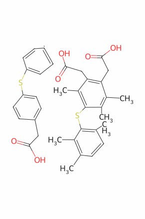 Cc1ccc(C)c(Sc2c(C)c(C)c(CC(=O)O)c(CC(=O)O)c2C)c1C.O=C(O)Cc1ccc(Sc2cc[c]cc2)cc1